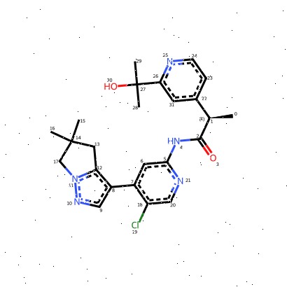 C[C@@H](C(=O)Nc1cc(-c2cnn3c2CC(C)(C)C3)c(Cl)cn1)c1ccnc(C(C)(C)O)c1